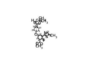 COC(=O)c1cc(OC2CCN(C(=O)OC(C)(C)C)CC2)cc(-c2ncc(C)s2)c1F